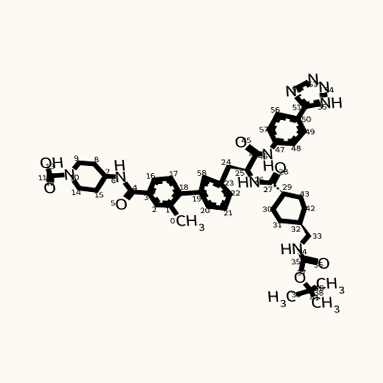 Cc1cc(C(=O)NC2CCN(C(=O)O)CC2)ccc1-c1cccc(C[C@H](NC(=O)[C@H]2CC[C@H](CNC(=O)OC(C)(C)C)CC2)C(=O)Nc2ccc(-c3nnn[nH]3)cc2)c1